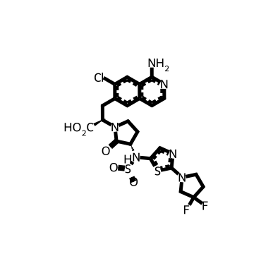 Nc1nccc2cc(C[C@H](C(=O)O)N3CC[C@H](N(c4cnc(N5CCC(F)(F)C5)s4)[SH](=O)=O)C3=O)c(Cl)cc12